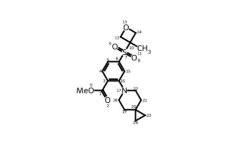 COC(=O)c1ccc(S(=O)(=O)C2(C)COC2)cc1N1CCC2(CC1)CC2